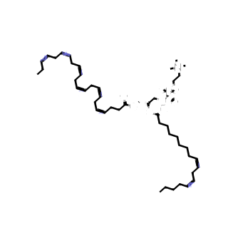 CC/C=C\C/C=C\C/C=C\C/C=C\C/C=C\C/C=C\CCC(=O)OC[C@H](COP(=O)([O-])OCC[N+](C)(C)C)OC(=O)CCCCCCC/C=C\C/C=C\CCCC